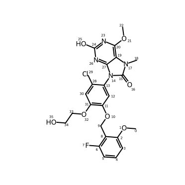 COc1cccc(F)c1COc1cc(-n2c(=O)n(C)c3c(OC)nc(O)nc32)c(Cl)cc1OCCO